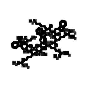 CC[C@H](C)[C@H](NC(=O)[C@H](Cc1c[nH]c2ccccc12)NC(=O)[C@H](CCCN=C(N)N)NC(=O)[C@H](CCCN=C(N)N)NC(=O)[C@H](Cc1c[nH]c2ccccc12)NC(=O)[C@@H](N)CCCCN)C(=O)N[C@@H](CCCN=C(N)N)C(=O)N[C@@H](Cc1c[nH]c2ccccc12)C(=O)N[C@@H](CC(C)C)C(=O)O